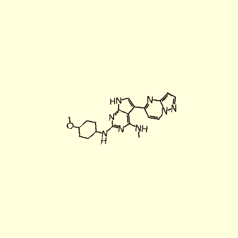 CNc1nc(NC2CCC(OC)CC2)nc2[nH]cc(-c3ccn4nccc4n3)c12